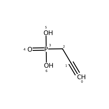 C#CCP(=O)(O)O